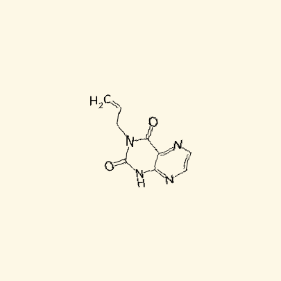 C=CCn1c(=O)[nH]c2nccnc2c1=O